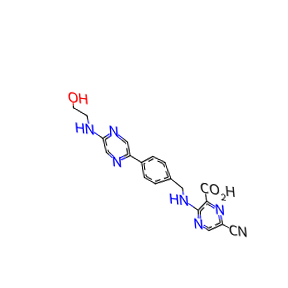 N#Cc1cnc(NCc2ccc(-c3cnc(NCCO)cn3)cc2)c(C(=O)O)n1